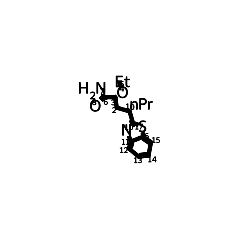 CCCC(CC(OCC)C(N)=O)c1nc2ccccc2s1